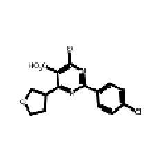 CCc1nc(-c2ccc(Cl)cc2)nc(C2CCOC2)c1C(=O)O